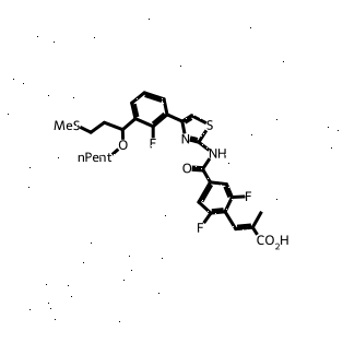 CCCCCOC(CCSC)c1cccc(-c2csc(NC(=O)c3cc(F)c(/C=C(\C)C(=O)O)c(F)c3)n2)c1F